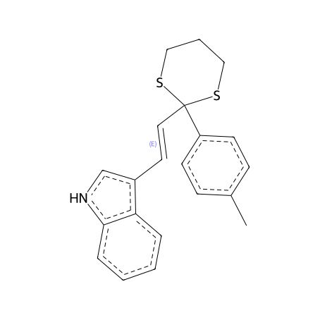 Cc1ccc(C2(/C=C/c3c[nH]c4ccccc34)SCCCS2)cc1